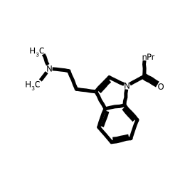 CCCC(=O)n1cc(CCN(C)C)c2ccccc21